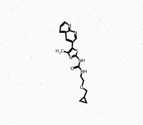 Cc1nc(NC(=O)NCCOCC2CC2)sc1-c1cnc2ncccc2c1